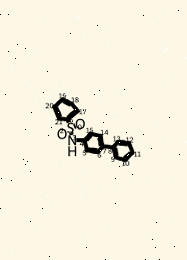 O=S(=O)(Nc1ccc(-c2ccccc2)cc1)c1ccccc1